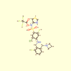 O=C(ON(c1cscn1)S(=O)(=O)c1cc(Cl)c(NCc2c(F)cccc2CN2CCC2)cc1F)C(F)(F)F